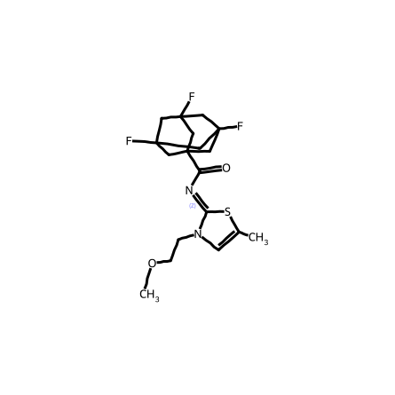 COCCn1cc(C)s/c1=N\C(=O)C12CC3(F)CC(F)(CC(F)(C3)C1)C2